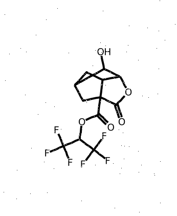 O=C1OC2C(O)C3CC2C1(C(=O)OC(C(F)(F)F)C(F)(F)F)C3